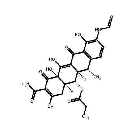 CCC(=O)O[C@H]1[C@H]2C(=C(O)[C@]3(O)C(=O)C(C(N)=O)=C(O)C[C@H]13)C(=O)c1c(ccc(NC=O)c1O)[C@@H]2C